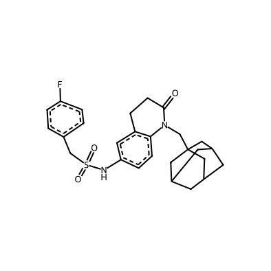 O=C1CCc2cc(NS(=O)(=O)Cc3ccc(F)cc3)ccc2N1CC12CC3CC(CC(C3)C1)C2